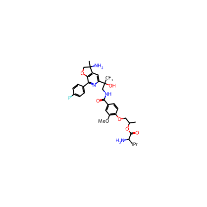 COc1cc(C(=O)NCC(O)(c2cc3c(c(-c4ccc(F)cc4)n2)OCC3(C)N)C(F)(F)F)ccc1OCC(C)OC(=O)C(N)C(C)C